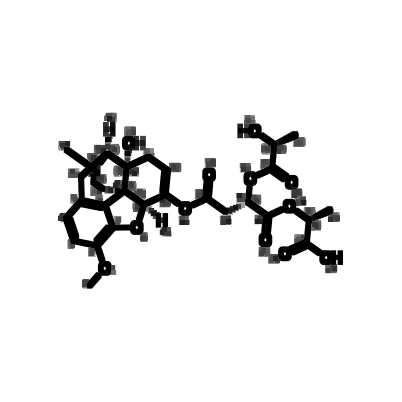 COc1ccc2c3c1O[C@@H]1C(OC(=O)C[C@H](OC(=O)[C@H](C)O)C(=O)O[C@@H](C)C(=O)O)=CC[C@]4(O)[C@H](C2)N(C)CC[C@@]314